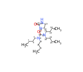 CCCCN(CCCC)C(=[O+]N1CCNC1=O)N(CCCC)CCCC